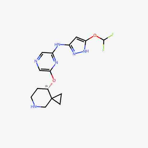 FC(F)Oc1cc(Nc2cncc(O[C@H]3CCNCC34CC4)n2)n[nH]1